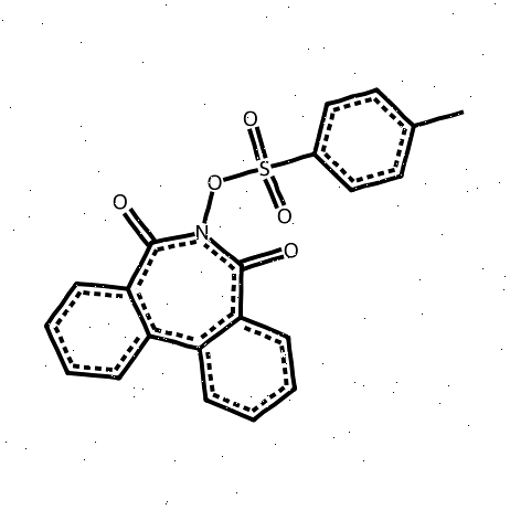 Cc1ccc(S(=O)(=O)On2c(=O)c3ccccc3c3ccccc3c2=O)cc1